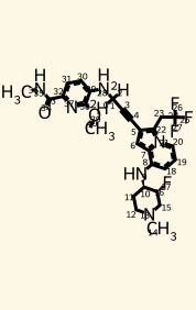 [2H]C([2H])(C#Cc1cc2c(N[C@@H]3CCN(C)C[C@@H]3F)cccn2c1CC(F)(F)F)Nc1ccc(C(=O)NC)nc1OC